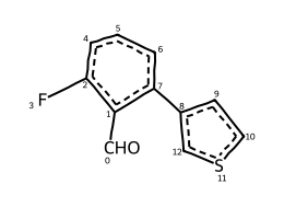 O=Cc1c(F)cccc1-c1ccsc1